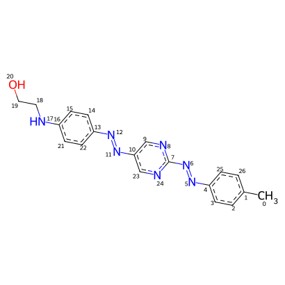 Cc1ccc(N=Nc2ncc(N=Nc3ccc(NCCO)cc3)cn2)cc1